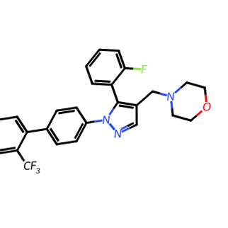 Fc1ccccc1-c1c(CN2CCOCC2)cnn1-c1ccc(-c2ccccc2C(F)(F)F)cc1